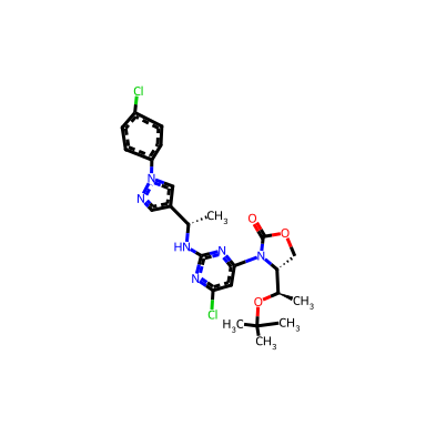 C[C@H](Nc1nc(Cl)cc(N2C(=O)OC[C@@H]2[C@@H](C)OC(C)(C)C)n1)c1cnn(-c2ccc(Cl)cc2)c1